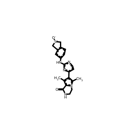 Cc1c(-c2ccnc(Nc3ccc4c(c3)C[S+]([O-])C4)n2)c(C)n2c1C(=O)NCC2